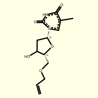 C=CCOC[C@H]1O[C@@H](n2cc(C)c(=O)[nH]c2=O)CC1O